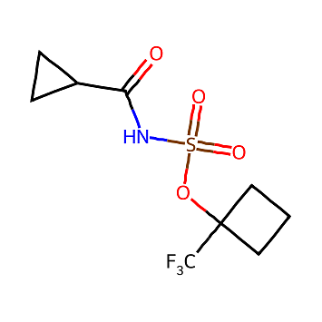 O=C(NS(=O)(=O)OC1(C(F)(F)F)CCC1)C1CC1